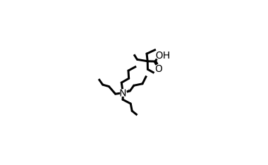 CCC(CC)(CC)C(=O)O.CCCC[N+](CCCC)(CCCC)CCCC